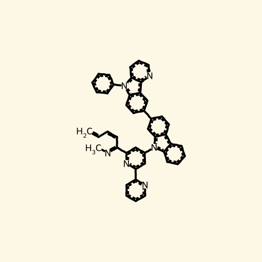 C=C/C=C\C(=N/C)c1cc(-n2c3ccccc3c3ccc(-c4ccc5c(c4)c4ncccc4n5-c4ccccc4)cc32)cc(-c2ccccn2)n1